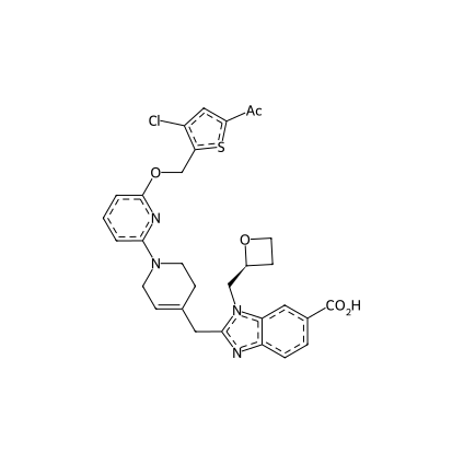 CC(=O)c1cc(Cl)c(COc2cccc(N3CC=C(Cc4nc5ccc(C(=O)O)cc5n4C[C@@H]4CCO4)CC3)n2)s1